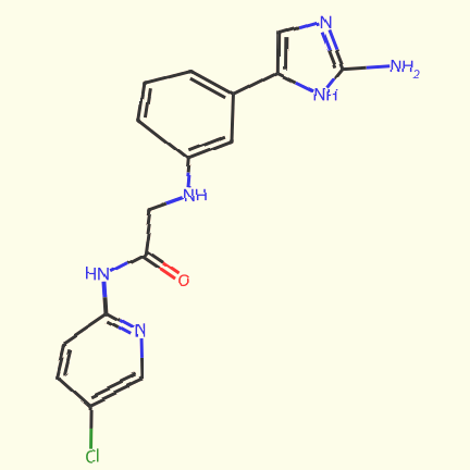 Nc1ncc(-c2cccc(NCC(=O)Nc3ccc(Cl)cn3)c2)[nH]1